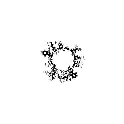 CC(=O)NC(O)(CC(=O)O)C(=O)N[C@H]1CSSC[C@@H](C(=O)N[C@H](C(=O)O)[C@@H](C)O)NC(=O)[C@H](Cc2c[nH]c3ccccc23)NC(=O)[C@H](C(C)C)NC(=O)[C@H](CC(C)C)NC(=O)[C@H](CCC(=O)O)NCCNC(=O)[C@H](CC(C)C)NC(=O)[C@H](CCCCN)NC(=O)[C@H](Cc2c[nH]c3ccccc23)NC(=O)[C@H](C)NC1=O